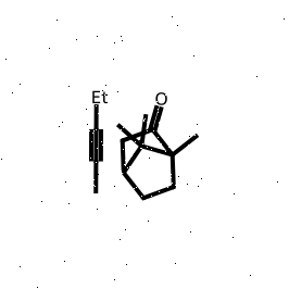 CC#CCC.CC12CCC(CC1=O)C2(C)C